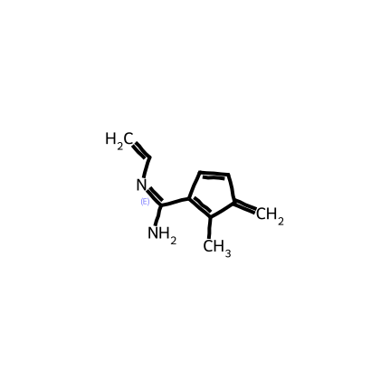 C=C/N=C(/N)C1=C(C)C(=C)C=C1